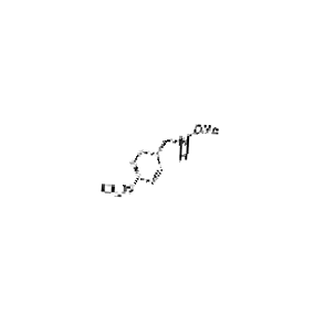 CONC[C@H]1C=CC([N+](=O)[O-])=CC1